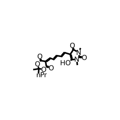 CCCC1(C)OC(=O)C(=C/C=C/C=C/c2c(O)n(C)c(=O)n(C)c2=O)C(=O)O1